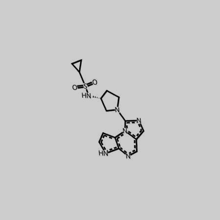 O=S(=O)(N[C@@H]1CCN(c2ncc3cnc4[nH]ccc4n23)C1)C1CC1